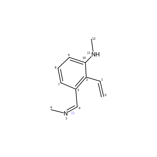 C=Cc1c(/C=N\C)cccc1NC